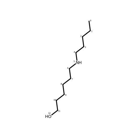 CCCCCNCCCCCCO